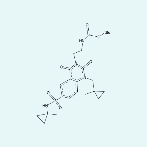 CC1(Cn2c(=O)n(CCNC(=O)OC(C)(C)C)c(=O)c3cc(S(=O)(=O)NC4(C)CC4)ccc32)CC1